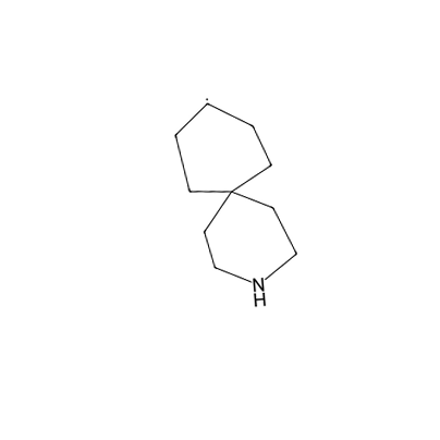 [CH]1CCC2(CC1)CCNCC2